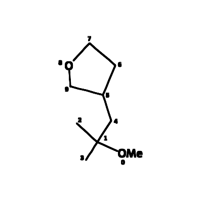 COC(C)(C)CC1CCOC1